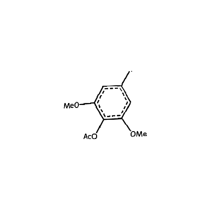 [CH2]c1cc(OC)c(OC(C)=O)c(OC)c1